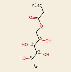 CCCCCCCCCCCC(=O)OC[C@@H](O)[C@@H](O)[C@H](O)[C@@H](O)C(C)=O